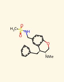 CN[C@H]1COc2ccc(CNS(C)(=O)=O)cc2[C@@H]1Cc1ccccc1